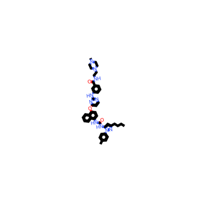 CCCCc1cc(NC(=O)Nc2ccc(Oc3ccnc(Nc4cccc(C(=O)NCCN5CCN(C)CC5)c4)n3)c3ccccc23)n(-c2ccc(C)cc2)n1